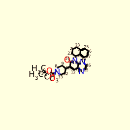 CC(C)(C)OC(=O)N1CCC(c2cc3nccnc3n(C3CCCc4ccccc43)c2=O)CC1